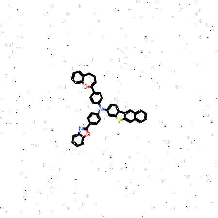 C1=C(c2ccc(N(c3ccc(-c4nc5ccccc5o4)cc3)c3ccc4c(c3)sc3cc5ccccc5cc34)cc2)Oc2ccccc2CC1